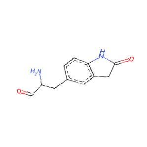 NC(C=O)Cc1ccc2c(c1)CC(=O)N2